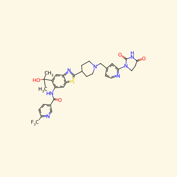 CC(C)(O)c1cc2nc(C3CCN(Cc4ccnc(N5CCC(=O)NC5=O)c4)CC3)sc2cc1NC(=O)c1ccc(C(F)(F)F)nc1